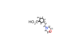 Cc1ccc(CCN2CCOCC2)cc1C(=O)O